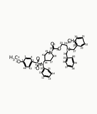 COc1ccc(S(=O)(=O)N(c2ccccc2)C2CCN(C(=O)OC[C@H](C)N(Cc3ccccc3)Cc3ccccc3)CC2)cc1